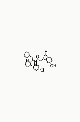 O=C(Cc1c[nH]c2ccc(O)cc12)NC(Cc1ccccc1)c1ncccc1-c1ccc(Cl)cc1